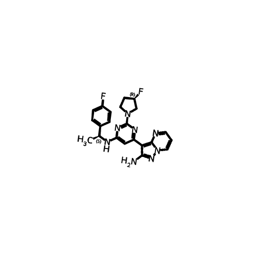 C[C@H](Nc1cc(-c2c(N)nn3cccnc23)nc(N2CC[C@@H](F)C2)n1)c1ccc(F)cc1